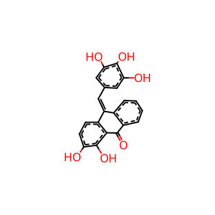 O=C1c2ccccc2/C(=C\c2cc(O)c(O)c(O)c2)c2ccc(O)c(O)c21